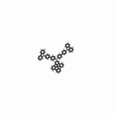 c1ccc(C2(c3ccc(N(c4ccc(-c5ccc(-n6c7ccccc7c7ccccc76)cc5)cc4)c4ccc(-c5ccc(-n6c7ccccc7c7ccccc76)cc5)cc4)cc3)c3ccccc3-c3ccccc32)cc1